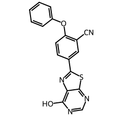 N#Cc1cc(-c2nc3c(O)ncnc3s2)ccc1Oc1ccccc1